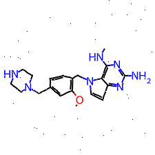 CNc1nc(N)nc2ccn(Cc3ccc(CN4CCNCC4)cc3OC)c12